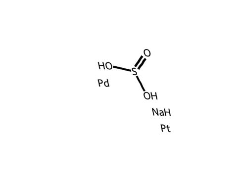 O=S(O)O.[NaH].[Pd].[Pt]